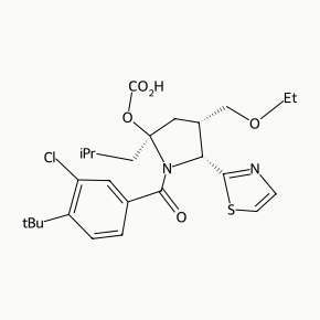 CCOC[C@H]1C[C@](CC(C)C)(OC(=O)O)N(C(=O)c2ccc(C(C)(C)C)c(Cl)c2)[C@H]1c1nccs1